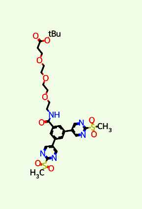 CC(C)(C)OC(=O)CCOCCOCCOCCNC(=O)c1cc(-c2cnc(S(C)(=O)=O)nc2)cc(-c2cnc(S(C)(=O)=O)nc2)c1